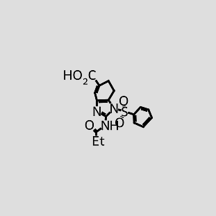 CCC(=O)Nc1nc2c(n1S(=O)(=O)c1ccccc1)CCC(C(=O)O)=C2